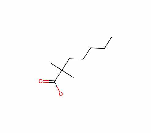 CCCCCC(C)(C)C([O])=O